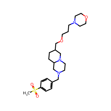 CS(=O)(=O)c1ccc(CN2CCN3CC(COCCCN4CCOCC4)CCC3C2)cc1